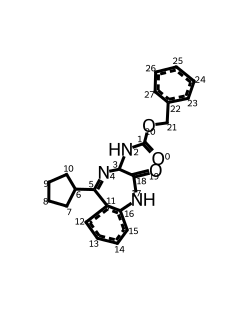 O=C(NC1N=C(C2CCCC2)c2ccccc2NC1=O)OCc1ccccc1